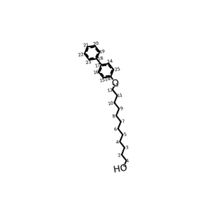 OCCCCCCCCCCCCOc1ccc(-c2ccccc2)cc1